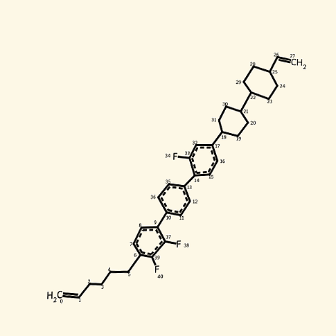 C=CCCCCc1ccc(-c2ccc(-c3ccc(C4CCC(C5CCC(C=C)CC5)CC4)cc3F)cc2)c(F)c1F